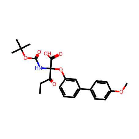 CCC(=O)C(NC(=O)OC(C)(C)C)(Oc1cccc(-c2ccc(OC)cc2)c1)C(=O)O